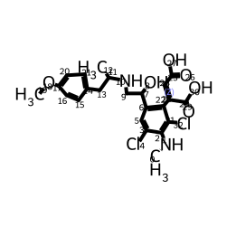 CNc1c(Cl)cc(C(O)CNC(C)Cc2ccc(OC)cc2)c(/C(=C/C(=O)O)C(=O)O)c1Cl